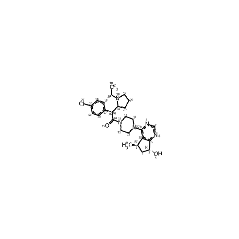 C[C@@H]1C[C@@H](O)c2ncnc(N3CCN(C(=O)[C@@H](c4ccc(Cl)cc4)C4CCCN4CC(F)(F)F)CC3)c21